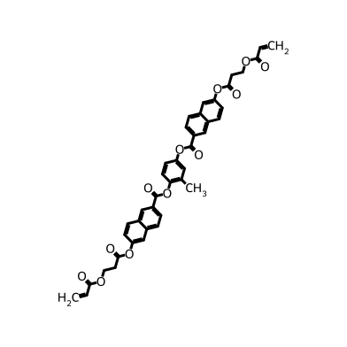 C=CC(=O)OCCC(=O)Oc1ccc2cc(C(=O)Oc3ccc(OC(=O)c4ccc5cc(OC(=O)CCOC(=O)C=C)ccc5c4)c(C)c3)ccc2c1